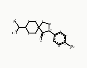 CC(C)C(O)C1CCC2(CC1)CCN(c1ccc(C(C)(C)C)cc1)C2=O